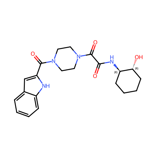 O=C(N[C@@H]1CCCC[C@H]1O)C(=O)N1CCN(C(=O)c2cc3ccccc3[nH]2)CC1